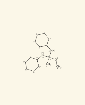 CO[Si](C)(NC1CCCCC1)NC1CCCCC1